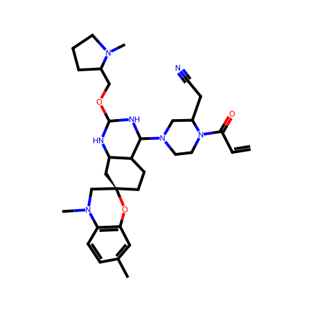 C=CC(=O)N1CCN(C2NC(OCC3CCCN3C)NC3C[C@]4(CCC32)CN(C)c2ccc(C)cc2O4)CC1CC#N